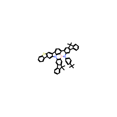 CC(C)(C)c1ccc(N2B3c4cc5c(cc4-n4c6cc7c(cc6c6ccc(c3c64)-c3cc4c(cc32)-c2ccccc2C4(C)C)sc2ccccc27)-c2ccccc2C5(C)C)cc1